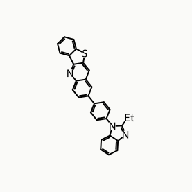 CCc1nc2ccccc2n1-c1ccc(-c2ccc3nc4c(cc3c2)sc2ccccc24)cc1